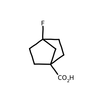 O=C(O)C12CCC(F)(CC1)C2